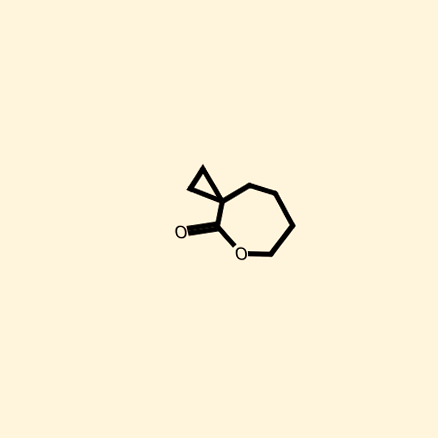 O=C1OCCCCC12CC2